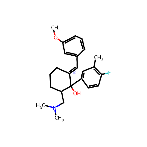 COc1cccc(/C=C2\CCCC(CN(C)C)C2(O)c2ccc(F)c(C)c2)c1